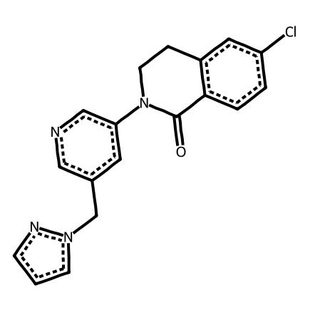 O=C1c2ccc(Cl)cc2CCN1c1cncc(Cn2cccn2)c1